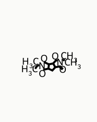 CC(C)N1C(=O)C2CC3C(=O)N(C(C)C)C(=O)C3C2C1=O